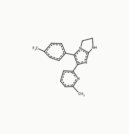 Cc1cccc(-c2nc3n(c2-c2ccc(C(F)(F)F)cc2)CCN3)n1